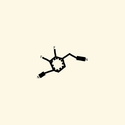 N#CCc1ccc(C#N)c(F)c1F